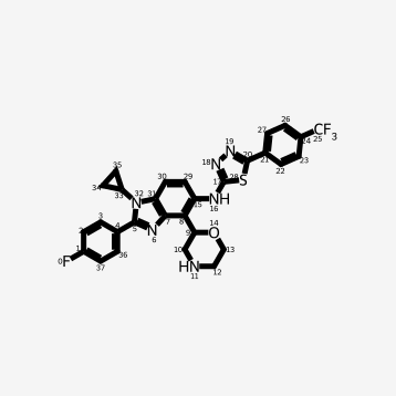 Fc1ccc(-c2nc3c(C4CNCCO4)c(Nc4nnc(-c5ccc(C(F)(F)F)cc5)s4)ccc3n2C2CC2)cc1